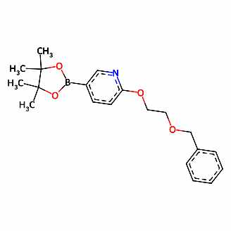 CC1(C)OB(c2ccc(OCCOCc3ccccc3)nc2)OC1(C)C